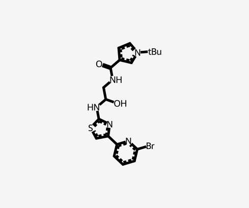 CC(C)(C)n1ccc(C(=O)NCC(O)Nc2nc(-c3cccc(Br)n3)cs2)c1